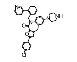 O=C1c2oc(-c3ccc(Cl)cc3)cc2Cc2cc(N3CCNCC3)ccc2N1CC1=C(c2cccnc2)CCC=C1